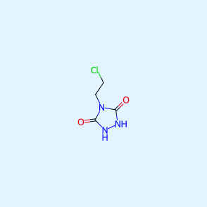 O=c1[nH][nH]c(=O)n1CCCl